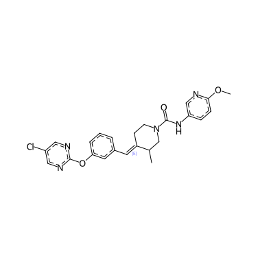 COc1ccc(NC(=O)N2CC/C(=C\c3cccc(Oc4ncc(Cl)cn4)c3)C(C)C2)cn1